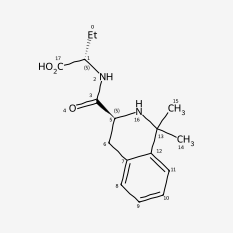 CC[C@H](NC(=O)[C@@H]1Cc2ccccc2C(C)(C)N1)C(=O)O